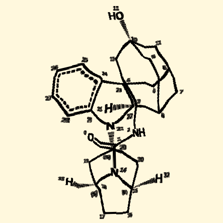 O=C(N[C@H]1C2CC3CC1C[C@](O)(C3)C2)N1[C@@H]2CC[C@H]1C[C@H](N1CCc3ccccc31)C2